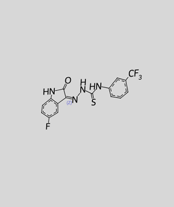 O=C1Nc2ccc(F)cc2/C1=N/NC(=S)Nc1cccc(C(F)(F)F)c1